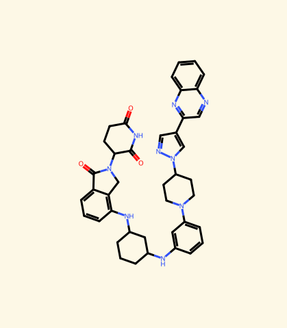 O=C1CCC(N2Cc3c(NC4CCCC(Nc5cccc(N6CCC(n7cc(-c8cnc9ccccc9n8)cn7)CC6)c5)C4)cccc3C2=O)C(=O)N1